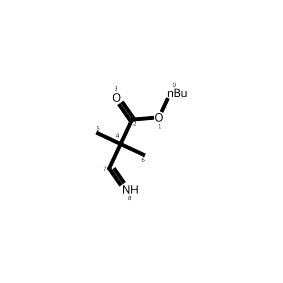 CCCCOC(=O)C(C)(C)C=N